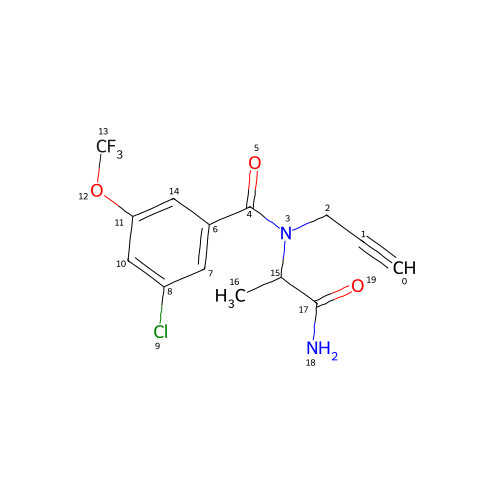 C#CCN(C(=O)c1cc(Cl)cc(OC(F)(F)F)c1)C(C)C(N)=O